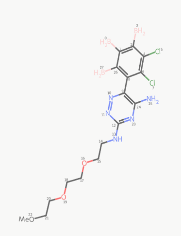 Bc1c(B)c(Cl)c(Cl)c(-c2nnc(NCCOCCOCCOC)nc2N)c1B